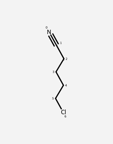 N#C[CH]CCCCl